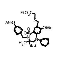 CCCCC1(C)CN(c2ccccc2)c2cc(OC)c(CSCC(=O)OCC)cc2S(=O)(=O)N1Cc1ccc(OC)cc1